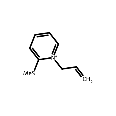 [CH2]Sc1cccc[n+]1CC=C